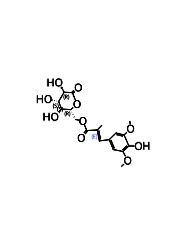 COc1cc(/C=C(\C)C(=O)OC[C@H]2OC(=O)[C@H](O)[C@@H](O)[C@@H]2O)cc(OC)c1O